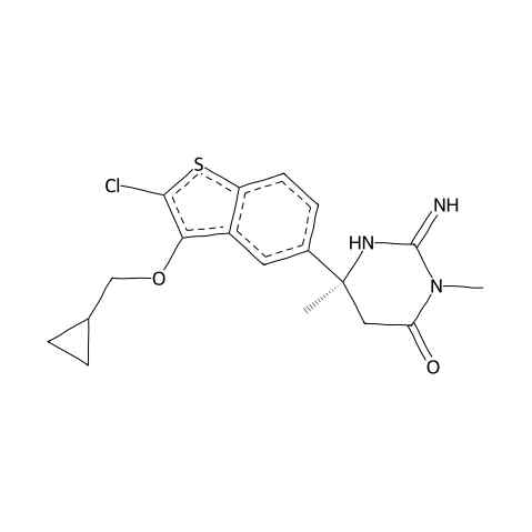 CN1C(=N)N[C@](C)(c2ccc3sc(Cl)c(OCC4CC4)c3c2)CC1=O